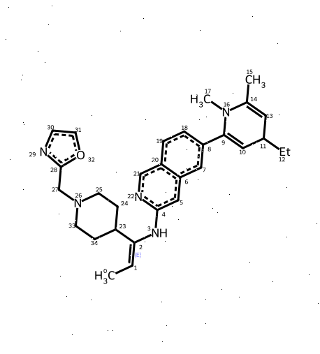 C/C=C(/Nc1cc2cc(C3=CC(CC)C=C(C)N3C)ccc2cn1)C1CCN(Cc2ncco2)CC1